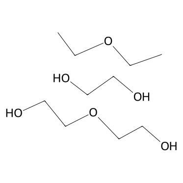 CCOCC.OCCO.OCCOCCO